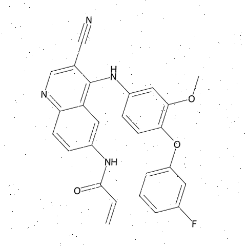 C=CC(=O)Nc1ccc2ncc(C#N)c(Nc3ccc(Oc4cccc(F)c4)c(OC)c3)c2c1